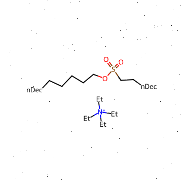 CCCCCCCCCCCCCCCOS(=O)(=O)CCCCCCCCCCCC.CC[N+](CC)(CC)CC